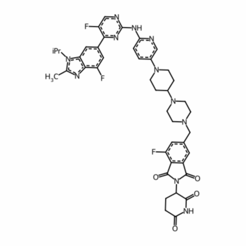 Cc1nc2c(F)cc(-c3nc(Nc4ccc(N5CCC(N6CCN(Cc7cc(F)c8c(c7)C(=O)N(C7CCC(=O)NC7=O)C8=O)CC6)CC5)cn4)ncc3F)cc2n1C(C)C